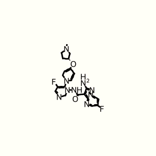 CN1CC[C@@H](OC2=CCN(C3=C(F)C=NCN3NC(=O)c3c(N)nn4cc(F)cnc34)C=C2)C1